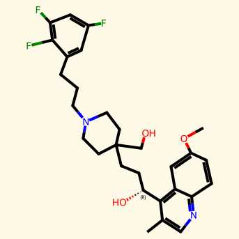 COc1ccc2ncc(C)c([C@H](O)CCC3(CO)CCN(CCCc4cc(F)cc(F)c4F)CC3)c2c1